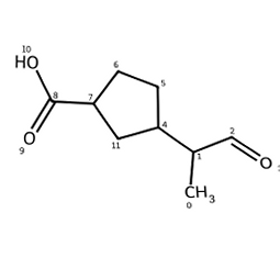 CC(C=O)C1CCC(C(=O)O)C1